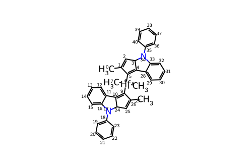 CC1=CC2C(=[C]1[Hf]([CH3])([CH3])[C]1=C3c4ccccc4N(c4ccccc4)C3C=C1C)c1ccccc1N2c1ccccc1